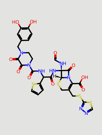 O=CN[C@@]1(NC(=O)C(NC(=O)N2CCN(Cc3ccc(O)c(O)c3)C(=O)C2=O)c2cccs2)C(=O)N2C(C(=O)O)=C(CSc3nncs3)CS[C@@H]21